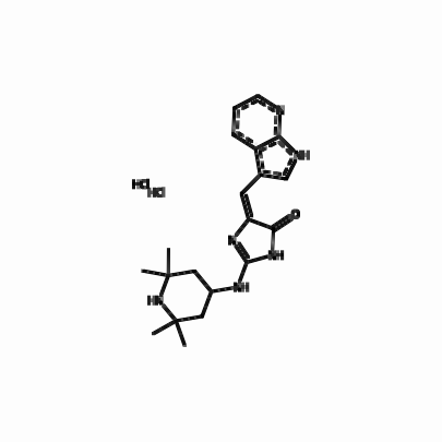 CC1(C)CC(NC2=NC(=Cc3c[nH]c4ncccc34)C(=O)N2)CC(C)(C)N1.Cl.Cl